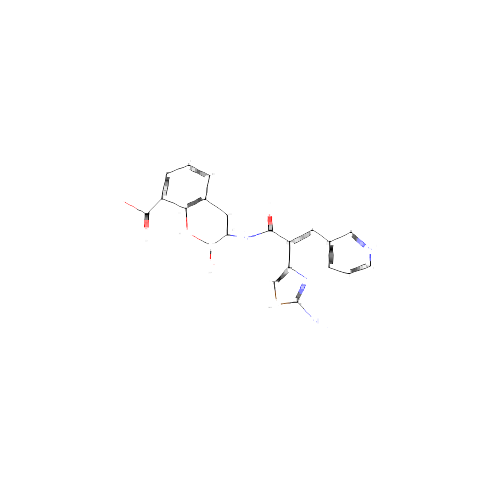 Nc1nc(C(=Cc2cccnc2)C(=O)NC2Cc3cccc(C(=O)O)c3OB2O)cs1